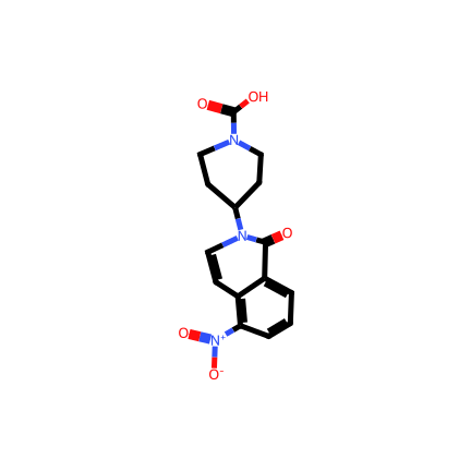 O=C(O)N1CCC(n2ccc3c([N+](=O)[O-])cccc3c2=O)CC1